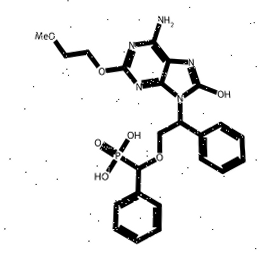 COCCOc1nc(N)c2nc(O)n(C(COC(c3ccccc3)P(=O)(O)O)c3ccccc3)c2n1